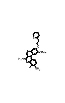 COc1cc2c(cc1OCCc1ccccn1)ncc1c(N)nc3c(C)c(N)ccc3c12